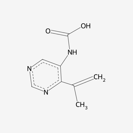 C=C(C)c1ncncc1NC(=O)O